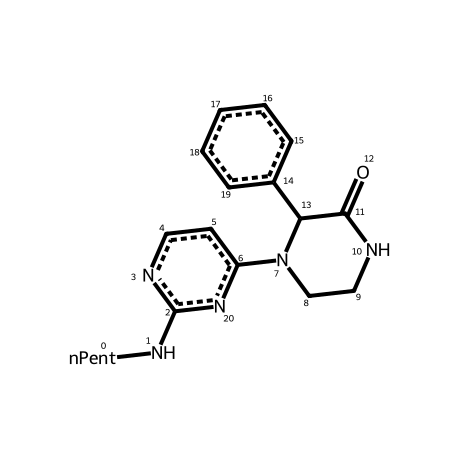 CCCCCNc1nccc(N2CCNC(=O)C2c2ccccc2)n1